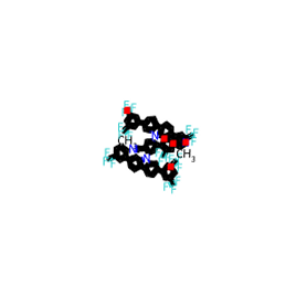 Cc1cc(-c2ccc3c4ccc(-c5cc(C(F)(F)F)cc(C(F)(F)F)c5)cc4n(-c4cc(-c5ccc(C#N)cc5C(F)(F)F)c(-n5c6cc(-c7cc(C)cc(C(F)(F)F)c7)ccc6c6ccc(-c7cc(C(F)(F)F)cc(C(F)(F)F)c7)cc65)cc4C#N)c3c2)cc(C(F)(F)F)c1